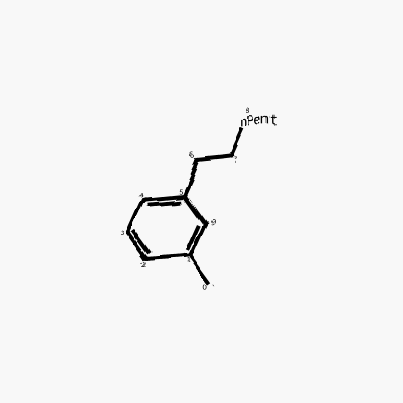 [CH2]c1cccc(CCCCCCC)c1